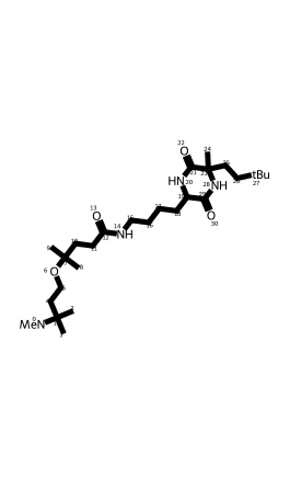 CNC(C)(C)CCOC(C)(C)CCC(=O)NCCCCC1NC(=O)C(C)(CCC(C)(C)C)NC1=O